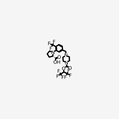 O=C(O)[C@@H]1CCCN1c1cc(CN2CCN(C(=O)OC(C(F)(F)F)C(F)(F)F)CC2)ccc1C(F)(F)F